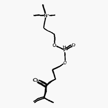 C=C(C)C(=O)CCO[PH](=O)OCC[N+](C)(C)C